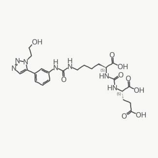 O=C(O)CC[C@H](NC(=O)N[C@@H](CCCCNC(=O)Nc1cccc(-c2cnnn2CCO)c1)C(=O)O)C(=O)O